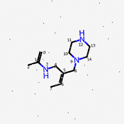 C=C(C)NC/C(=C\C)CN1CCNCC1